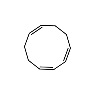 C1=C\CC/C=C\CC\C=C/1